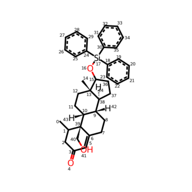 CC1CC(=O)C=C2CC[C@@H]3[C@@H](CC[C@]4(C)C(O[Si](c5ccccc5)(c5ccccc5)c5ccccc5)CC[C@@H]34)[C@]21CO